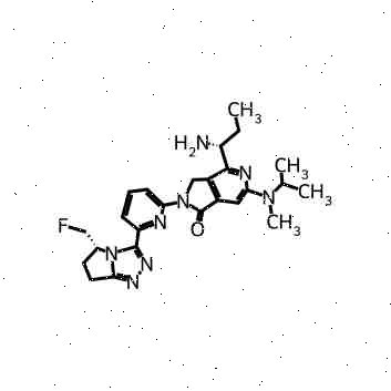 CC[C@@H](N)c1nc(N(C)C(C)C)cc2c1CN(c1cccc(-c3nnc4n3[C@@H](CF)CC4)n1)C2=O